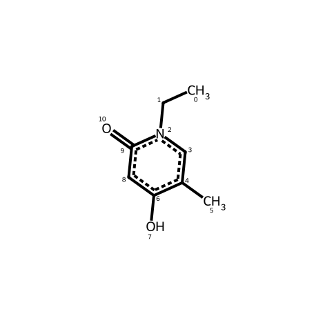 CCn1cc(C)c(O)cc1=O